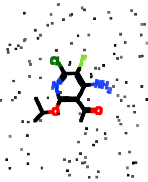 CC(=O)c1c(OC(C)C)nc(Cl)c(F)c1N